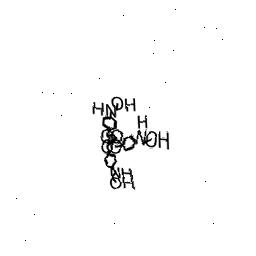 O=P(Oc1ccc(NCO)cc1)(Oc1ccc(NCO)cc1)Oc1ccc(NCO)cc1